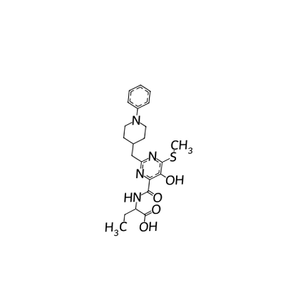 CCC(NC(=O)c1nc(CC2CCN(c3ccccc3)CC2)nc(SC)c1O)C(=O)O